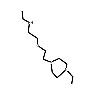 CCNCCOCCN1CCN(CC)CC1